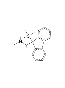 CC(N(C)C)C1([Si](C)(C)C)c2ccccc2-c2ccccc21